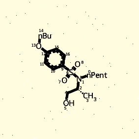 CCCCCN([C@H](C)CO)S(=O)(=O)c1ccc(OCCCC)cc1